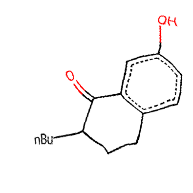 CCCCC1CCc2ccc(O)cc2C1=O